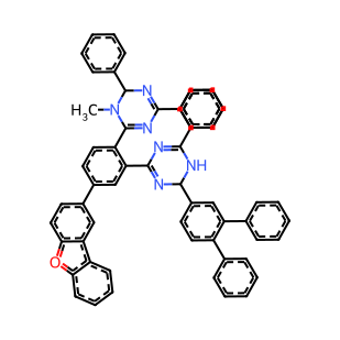 CN1C(c2ccc(-c3ccc4oc5ccccc5c4c3)cc2C2=NC(c3ccc(-c4ccccc4)c(-c4ccccc4)c3)NC(c3ccccc3)=N2)=NC(c2ccccc2)=NC1c1ccccc1